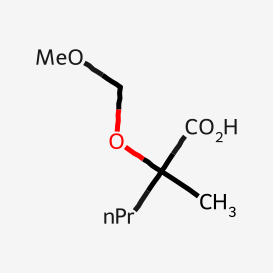 CCCC(C)(OCOC)C(=O)O